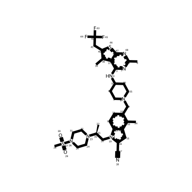 Cc1nc(NC2CCN(Cc3ccc4c(cc(C#N)n4C[C@H](C)N4CCN(S(C)(=O)=O)CC4)c3C)CC2)c2c(C)c(CC(F)(F)F)sc2n1